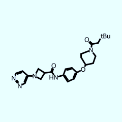 CC(C)(C)CC(=O)N1CCC(Oc2ccc(NC(=O)C3CN(c4ccnnc4)C3)cc2)CC1